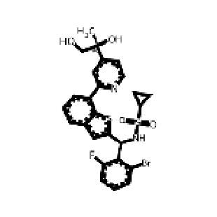 C[C@](O)(CO)c1ccnc(-c2cccc3cc(C(NS(=O)(=O)C4CC4)c4c(F)cccc4Br)sc23)c1